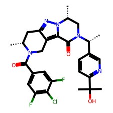 C[C@@H]1Cc2nn3c(c2CN1C(=O)c1cc(F)c(Cl)c(F)c1)C(=O)N([C@H](C)c1ccc(C(C)(C)O)nc1)C[C@H]3C